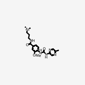 COc1cc(C(=O)NCCC[As](C)C)ccc1NC(=O)Nc1cnc(C)cn1